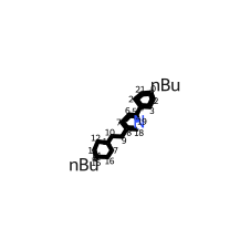 CCCCc1ccc(-c2ccc(CCC3CCC(CCCC)CC3)cn2)cc1